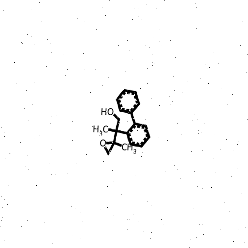 CC1(C(C)(CO)c2ccccc2-c2ccccc2)CO1